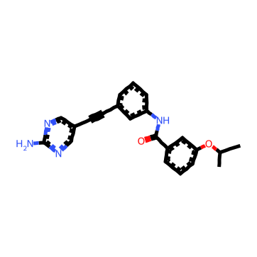 CC(C)Oc1cccc(C(=O)Nc2cccc(C#Cc3cnc(N)nc3)c2)c1